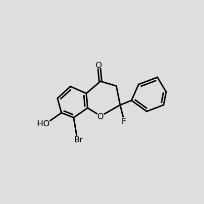 O=C1CC(F)(c2ccccc2)Oc2c1ccc(O)c2Br